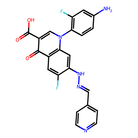 Nc1ccc(-n2cc(C(=O)O)c(=O)c3cc(F)c(NN=Cc4ccncc4)cc32)c(F)c1